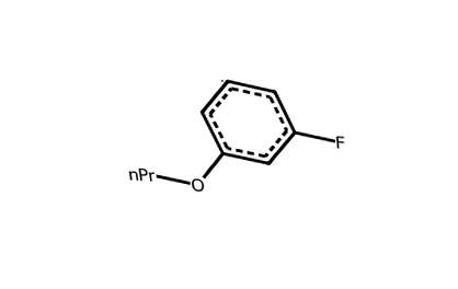 CCCOc1c[c]cc(F)c1